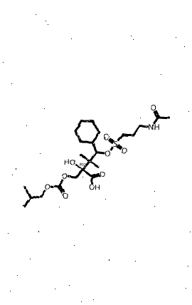 CC(=O)NCCCS(=O)(=O)OC(C1CCCCC1)C(C)(C)[C@@](O)(COC(=O)OCC(C)C)C(=O)O